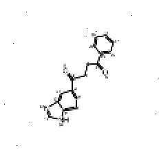 O=C(CCC(=O)c1ccc2[nH]cnc2c1)c1ccccc1